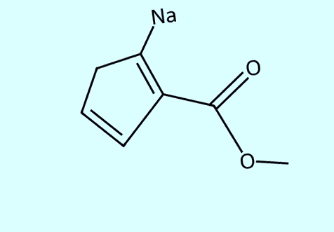 COC(=O)C1=[C]([Na])CC=C1